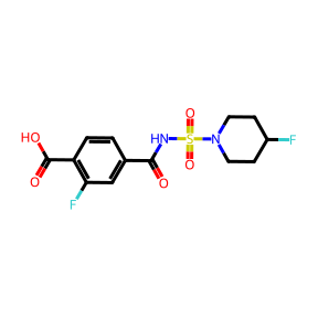 O=C(NS(=O)(=O)N1CCC(F)CC1)c1ccc(C(=O)O)c(F)c1